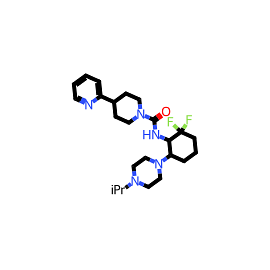 CC(C)N1CCN(C2CCCC(F)(F)C2NC(=O)N2CCC(c3ccccn3)CC2)CC1